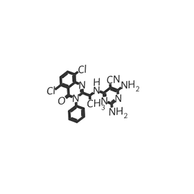 CC(Nc1nc(N)nc(N)c1C#N)c1nc2c(Cl)ccc(Cl)c2c(=O)n1-c1ccccc1